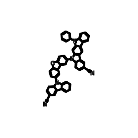 N#Cc1ccc2c(c1)c1ccccc1n2-c1ccc2oc3ccc(-n4c5ccc(C#N)cc5c5cc6c7ccccc7n(-c7ccccc7)c6cc54)cc3c2c1